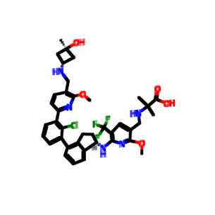 COc1nc(-c2cccc(-c3cccc4c3CC[C@@H]4Nc3nc(OC)c(CNC(C)(C)C(=O)O)cc3C(F)(F)F)c2Cl)ccc1CN[C@H]1C[C@](C)(O)C1